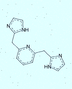 c1cc(Cc2ncc[nH]2)nc(Cc2ncc[nH]2)c1